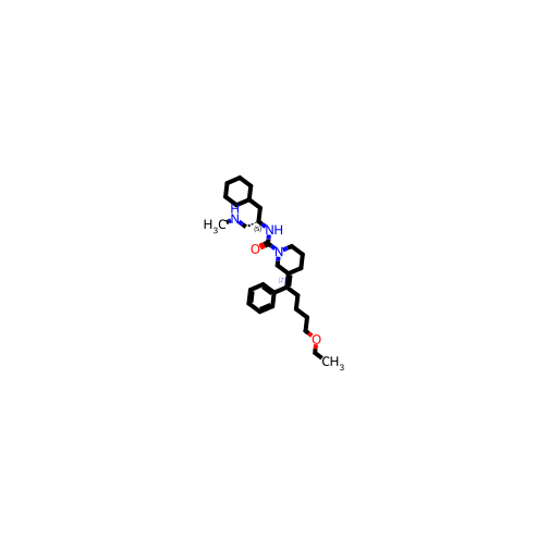 CCOCCCC/C(=C1\CCCN(C(=O)N[C@H](CNC)CC2CCCCC2)C1)c1ccccc1